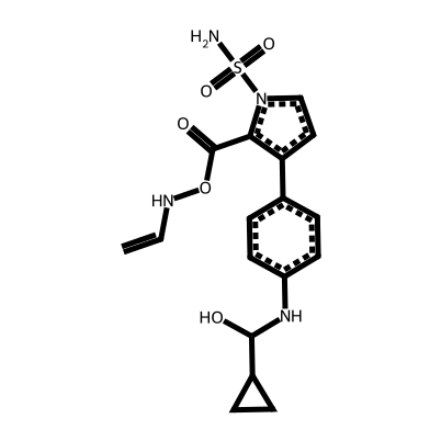 C=CNOC(=O)c1c(-c2ccc(NC(O)C3CC3)cc2)ccn1S(N)(=O)=O